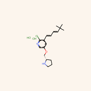 CC(C)(C)C=CC=Cc1cc(OC[C@@H]2CCCN2)cnc1Cl.Cl.Cl